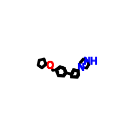 c1cc(-c2ccc(COC3CCCC3)cc2)cc(N2CCNCC2)c1